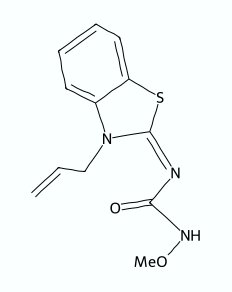 C=CCn1c(=NC(=O)NOC)sc2ccccc21